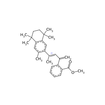 C=C(/C=C(\C)c1cc2c(cc1C)C(C)(C)CCC2(C)C)c1ccccc1C(=O)OC